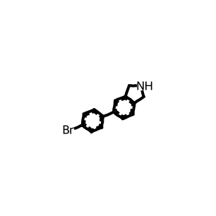 Brc1ccc(-c2ccc3c(c2)CNC3)cc1